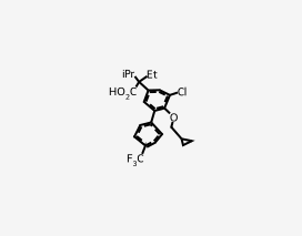 CCC(C(=O)O)(c1cc(Cl)c(OCC2CC2)c(-c2ccc(C(F)(F)F)cc2)c1)C(C)C